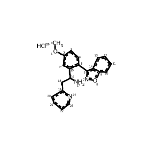 COc1ccc(-c2noc3ccccc23)c(C(N)Cc2ccccn2)c1.Cl